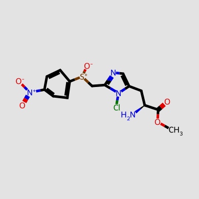 COC(=O)[C@@H](N)Cc1cnc(C[S+]([O-])c2ccc([N+](=O)[O-])cc2)n1Cl